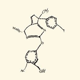 CN[C@H]1N=C(Nc2ccc(C#N)c(OC)c2)N=C2C1=CCC2(C)c1ccc(F)cc1